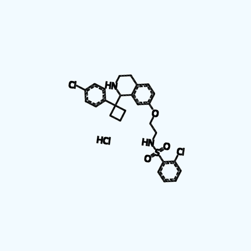 Cl.O=S(=O)(NCCOc1ccc2c(c1)C(C1(c3ccc(Cl)cc3)CCC1)NCC2)c1ccccc1Cl